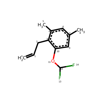 C=CCc1c(C)cc(C)cc1OC(F)F